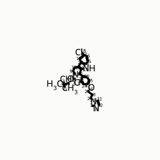 CC(C)(C)COC(=O)N1CCc2c([nH]c3ccc(Cl)cc23)C1c1ccc(OCCCn2ccnc2)cc1